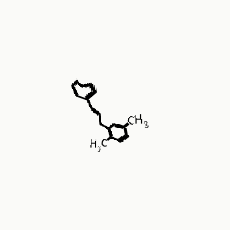 Cc1ccc(C)c(C/C=C/c2ccccc2)c1